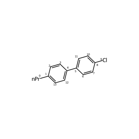 CCCc1ccc(-c2ccc(Cl)cc2)cc1